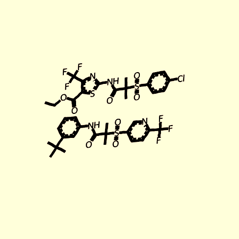 CC(C)(C)c1cccc(NC(=O)C(C)(C)S(=O)(=O)c2ccc(C(F)(F)F)nc2)c1.CCOC(=O)c1sc(NC(=O)C(C)(C)S(=O)(=O)c2ccc(Cl)cc2)nc1C(F)(F)F